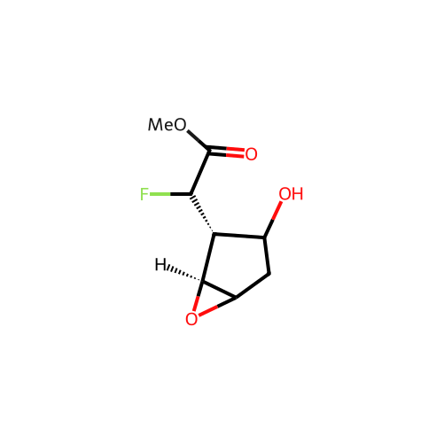 COC(=O)C(F)[C@@H]1C(O)CC2O[C@H]21